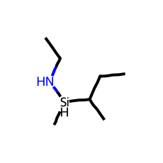 CCN[SiH](C)C(C)CC